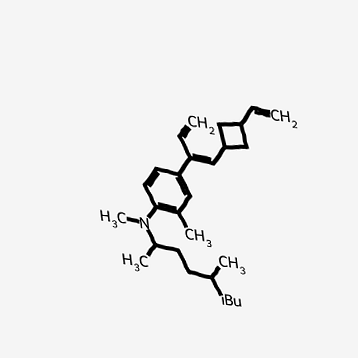 C=C/C(=C\C1CC(C=C)C1)c1ccc(N(C)C(C)CCC(C)C(C)CC)c(C)c1